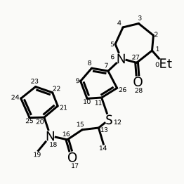 CCC1CCCCN(c2cccc(SC(C)CC(=O)N(C)c3ccccc3)c2)C1=O